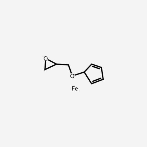 C1=CC(OCC2CO2)C=C1.[Fe]